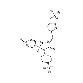 [2H]C([2H])(Oc1ccc(CNC(=O)N(C2CCN(C([2H])([2H])[2H])CC2)C([2H])([2H])c2ccc(F)cc2)cc1)C(C)C